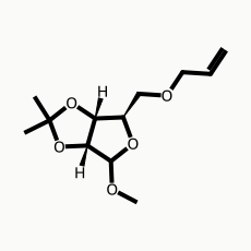 C=CCOC[C@H]1OC(OC)[C@@H]2OC(C)(C)O[C@H]12